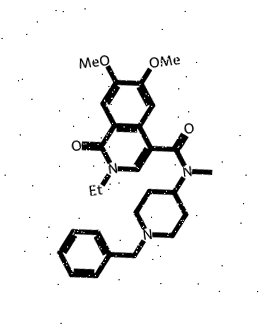 CCn1cc(C(=O)N(C)C2CCN(Cc3ccccc3)CC2)c2cc(OC)c(OC)cc2c1=O